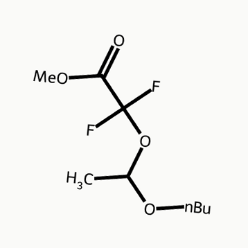 CCCCOC(C)OC(F)(F)C(=O)OC